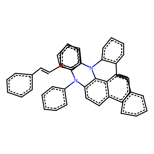 C(=Cc1ccccc1N(c1ccccc1)c1ccc2ccccc2c1N(c1ccccc1)c1ccccc1C=Cc1ccccc1)c1ccccc1